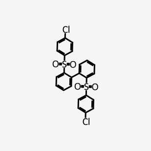 O=S(=O)(c1ccc(Cl)cc1)c1ccccc1-c1ccccc1S(=O)(=O)c1ccc(Cl)cc1